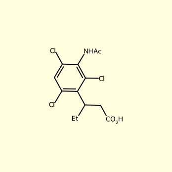 CCC(CC(=O)O)c1c(Cl)cc(Cl)c(NC(C)=O)c1Cl